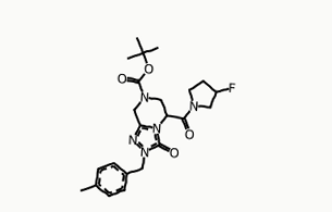 Cc1ccc(Cn2nc3n(c2=O)C(C(=O)N2CCC(F)C2)CN(C(=O)OC(C)(C)C)C3)cc1